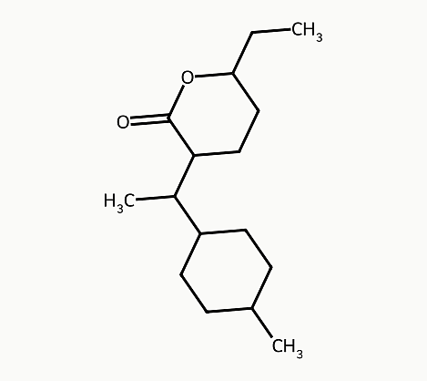 CCC1CCC(C(C)C2CCC(C)CC2)C(=O)O1